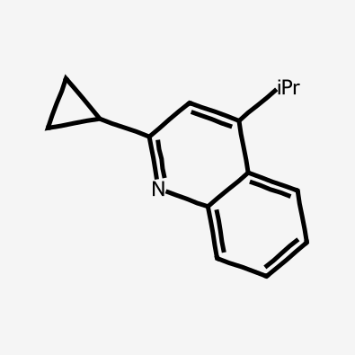 CC(C)c1cc(C2CC2)nc2ccccc12